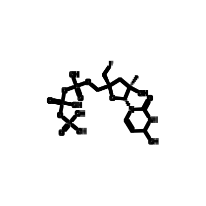 C[C@@]1(O)C[C@@](CF)(COP(=O)(O)OP(=O)(O)OP(=O)(O)O)O[C@H]1N1C=CC(O)NC1=O